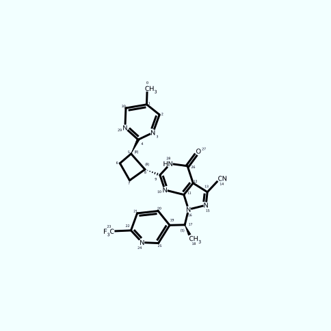 Cc1cnc([C@@H]2CC[C@H]2c2nc3c(c(C#N)nn3[C@@H](C)c3ccc(C(F)(F)F)nc3)c(=O)[nH]2)nc1